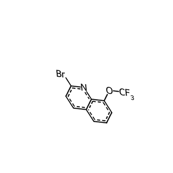 FC(F)(F)Oc1cccc2ccc(Br)nc12